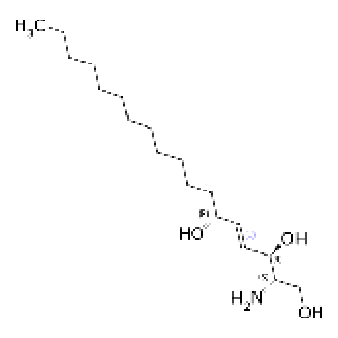 CCCCCCCCCCCC[C@@H](O)/C=C/[C@@H](O)[C@@H](N)CO